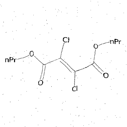 CCCOC(=O)C(Cl)=C(Cl)C(=O)OCCC